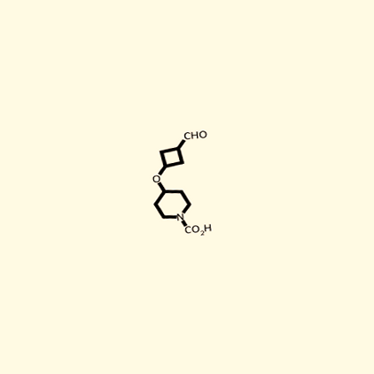 O=CC1CC(OC2CCN(C(=O)O)CC2)C1